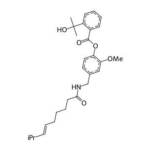 COc1cc(CNC(=O)CCCC/C=C/C(C)C)ccc1OC(=O)c1ccccc1C(C)(C)O